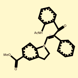 COC(=O)c1ccc2c(c1)CCN2/C=C(/C(=O)c1ccccc1NC(C)=O)c1ccccc1